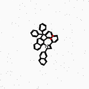 C1=C(c2ccccc2)N(c2c3c(cc4ccccc24)C(c2ccccc2)(c2ccccc2)c2ccccc2-3)C1c1ccc2ccccc2c1